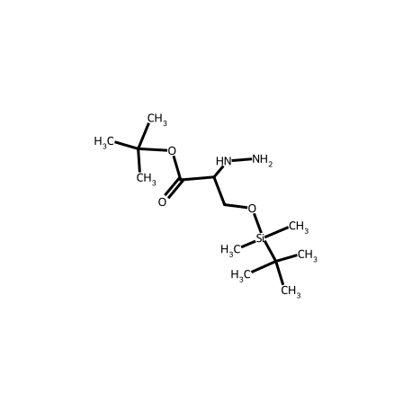 CC(C)(C)OC(=O)C(CO[Si](C)(C)C(C)(C)C)NN